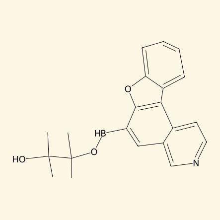 CC(C)(O)C(C)(C)OBc1cc2cnccc2c2c1oc1ccccc12